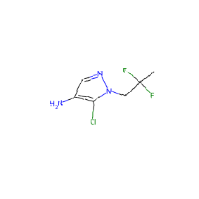 CC(F)(F)Cn1ncc(N)c1Cl